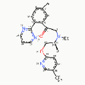 CCN(CC(=O)c1cc(C)ccc1-c1ncccn1)[C@@H](C)COc1ccc(C(F)(F)F)cn1